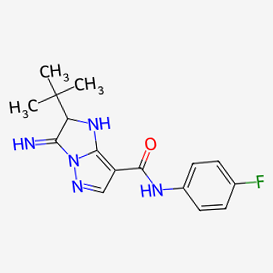 CC(C)(C)C1Nc2c(C(=O)Nc3ccc(F)cc3)cnn2C1=N